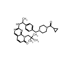 CC(Nc1ncc2ccc(=O)n(CC(C)(C)C)c2n1)c1ccc(CN2CCN(C(=O)C3CC3)CC2)cc1